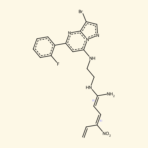 C=C/C(=C\C=C(/N)NCCNc1cc(-c2ccccc2F)nc2c(Br)cnn12)[N+](=O)[O-]